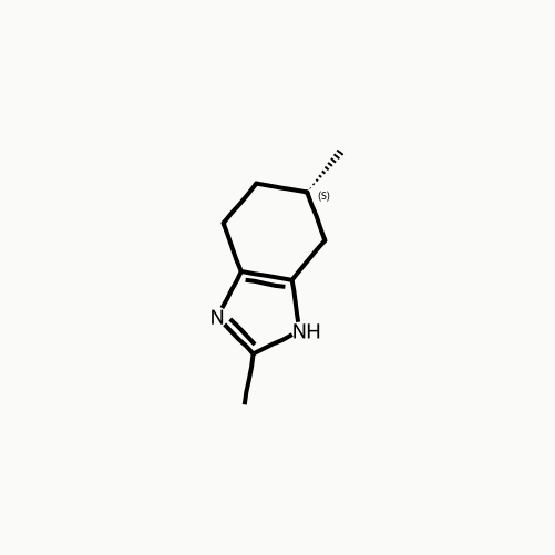 Cc1nc2c([nH]1)C[C@@H](C)CC2